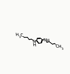 CCCCCNc1ccc(NCCCCC)cc1